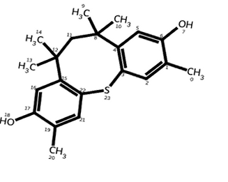 Cc1cc2c(cc1O)C(C)(C)CC(C)(C)c1cc(O)c(C)cc1S2